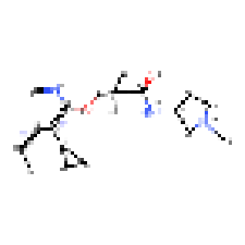 C=N/C(OCC(C)(C)C(=O)N[C@@H]1CCN(C)C1)=C(\C=C/C)C1CC1